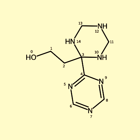 OCCC1(c2ncncn2)NCNCN1